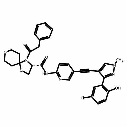 Cn1cc(C#Cc2ccc(NC(=O)[C@@H]3COC4(CCOCC4)N3C(=O)Cc3ccccc3)nc2)c(-c2cc(Cl)ccc2O)n1